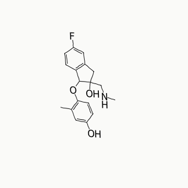 CNCC1(O)Cc2cc(F)ccc2C1Oc1ccc(O)cc1C